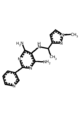 CC(Nc1c(N)nc(-c2cccnc2)nc1N)c1ccn(C)n1